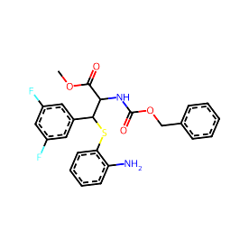 COC(=O)C(NC(=O)OCc1ccccc1)C(Sc1ccccc1N)c1cc(F)cc(F)c1